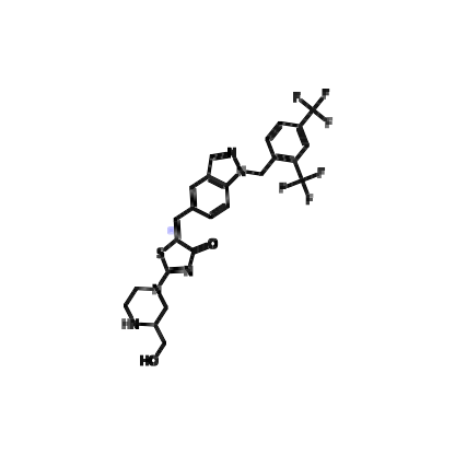 O=C1N=C(N2CCNC(CO)C2)S/C1=C/c1ccc2c(cnn2Cc2ccc(C(F)(F)F)cc2C(F)(F)F)c1